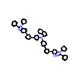 c1ccc(-c2nc3cc(-c4cccc(-c5ccc(N(c6ccc(-c7cccc(-c8ccc9c(c8)NC(c8ccccc8)N9c8ccccc8)c7)cc6)c6cccc7ccccc67)cc5)c4)ccc3n2-c2ccccc2)cc1